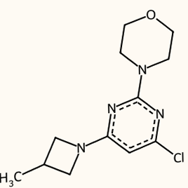 CC1CN(c2cc(Cl)nc(N3CCOCC3)n2)C1